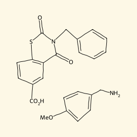 COc1ccc(CN)cc1.O=C(O)c1ccc2sc(=O)n(Cc3ccccc3)c(=O)c2c1